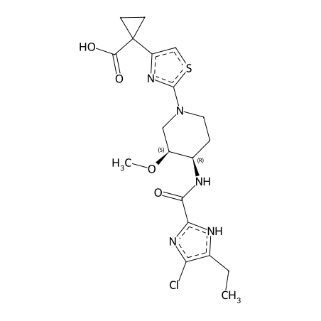 CCc1[nH]c(C(=O)N[C@@H]2CCN(c3nc(C4(C(=O)O)CC4)cs3)C[C@@H]2OC)nc1Cl